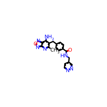 Cc1nc2nonc2c(N)c1Cc1ccc(C(=O)NCc2ccnnc2)cc1